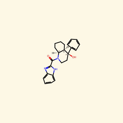 O=C(c1nc2ccccc2[nH]1)N1CC[C@@](O)(c2ccccc2)[C@@H]2CCCC[C@@H]21